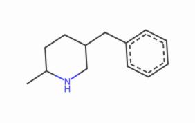 CC1CCC(Cc2ccccc2)CN1